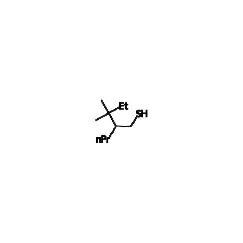 CCCC(CS)C(C)(C)CC